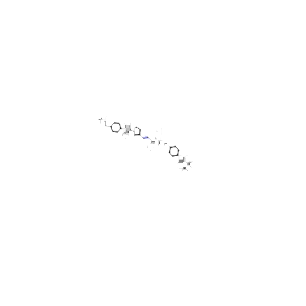 CN(C)Cc1ccc(S(=O)(=O)n2ccc(/C=C/C(=O)NOCc3ccc(B4OC(C)(C)C(C)(C)O4)cc3)c2)cc1